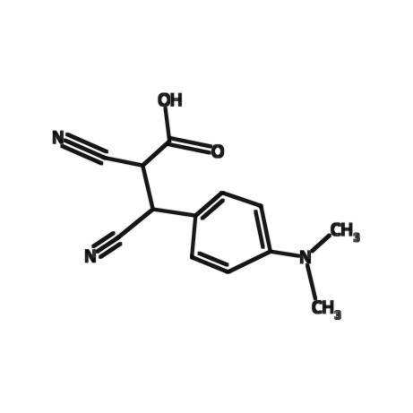 CN(C)c1ccc(C(C#N)C(C#N)C(=O)O)cc1